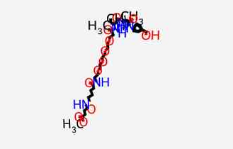 COC(=O)CCC(=O)NCCCCCC(=O)NCCOCCOCCOCCOCCC(=O)N[C@H](C(=O)N[C@@H](C)C(=O)Nc1ccc(CO)cc1)C(C)C